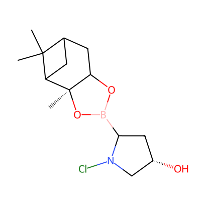 CC1(C)C2CC3OB(C4C[C@H](O)CN4Cl)O[C@@]3(C)C1C2